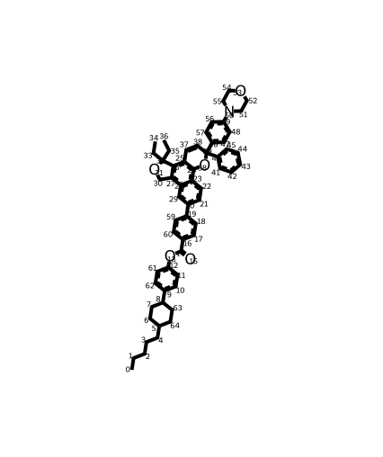 CCCCCC1CCC(c2ccc(OC(=O)c3ccc(-c4ccc5c6c(c7c(c5c4)COC7(CC)CC)C=CC(c4ccccc4)(c4ccc(N5CCOCC5)cc4)O6)cc3)cc2)CC1